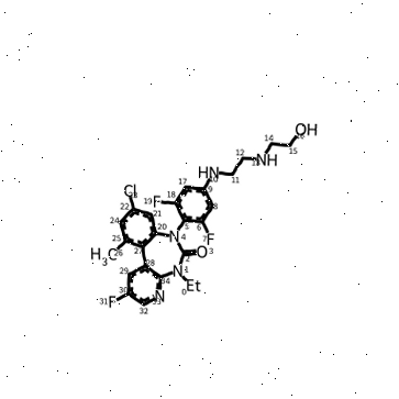 CCN1C(=O)N(c2c(F)cc(NCCNCCO)cc2F)c2cc(Cl)cc(C)c2-c2cc(F)cnc21